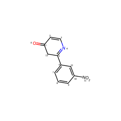 O=C1C=CN=C(c2cccc([N+](=O)[O-])c2)C1